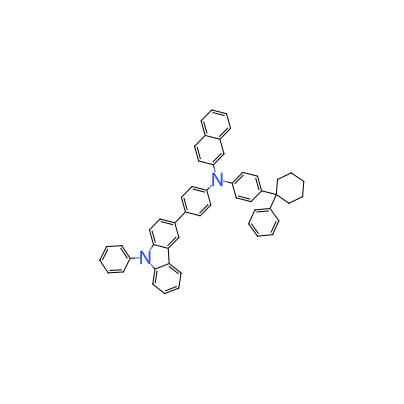 c1ccc(-n2c3ccccc3c3cc(-c4ccc(N(c5ccc(C6(c7ccccc7)CCCCC6)cc5)c5ccc6ccccc6c5)cc4)ccc32)cc1